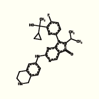 CC(C)n1c(=O)c2cnc(Nc3ccc4c(c3)CCNC4)nc2n1-c1ccc(F)c(C(C)(O)C2CC2)n1